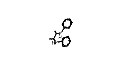 CC(Pc1ccccc1)C(C)Pc1ccccc1